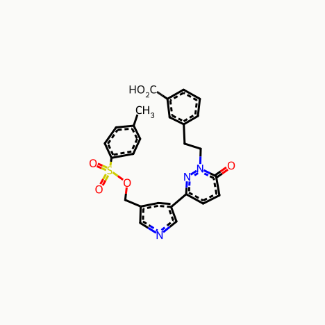 Cc1ccc(S(=O)(=O)OCc2cncc(-c3ccc(=O)n(CCc4cccc(C(=O)O)c4)n3)c2)cc1